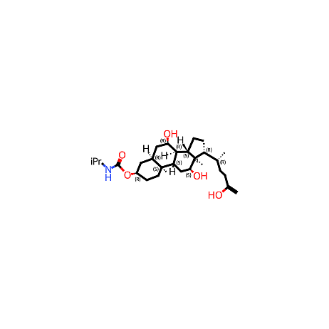 C=C(O)CC[C@@H](C)[C@H]1CC[C@H]2[C@@H]3[C@H](O)C[C@@H]4C[C@H](OC(=O)NC(C)C)CC[C@]4(C)[C@H]3C[C@H](O)[C@]12C